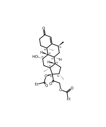 CCC(=O)OCC(=O)[C@@]1(OC(=O)CC)[C@@H](C)C[C@H]2[C@@H]3C[C@H](C)C4=CC(=O)CC[C@]4(C)[C@H]3[C@@H](O)C[C@@]21C